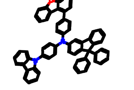 c1ccc(C2(c3ccccc3)c3ccccc3-c3cc(N(c4ccc(-c5cccc6oc7ccccc7c56)cc4)c4ccc(-n5c6ccccc6c6ccccc65)cc4)ccc32)cc1